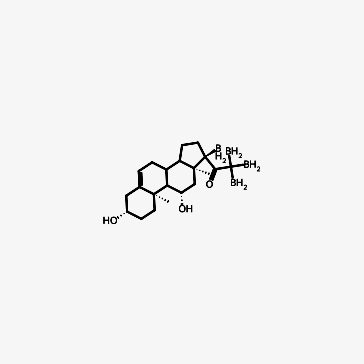 BC(B)(B)C(=O)[C@@]1(B)CCC2C3CC=C4C[C@@H](O)CC[C@]4(C)C3[C@@H](O)C[C@@]21C